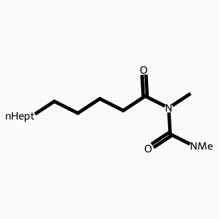 CCCCCCCCCCCC(=O)N(C)C(=O)NC